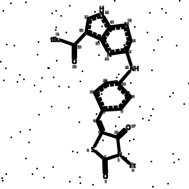 CCN1C(=O)S/C(=C/c2ccc(Nc3cnc4[nH]cc(C(=O)C(C)(C)C)c4n3)cc2)C1=O